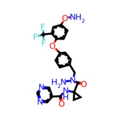 NOc1ccc(Oc2ccc(CN(N)C(=O)C3(NC(=O)c4cncnc4)CC3)cc2)c(C(F)(F)F)c1